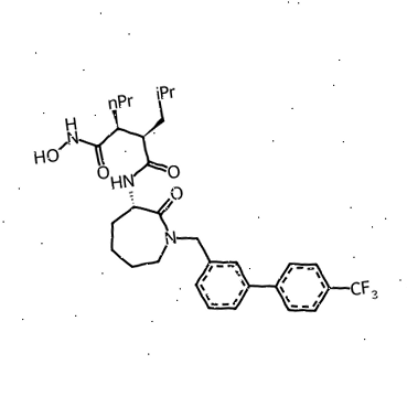 CCC[C@H](C(=O)NO)[C@@H](CC(C)C)C(=O)N[C@H]1CCCCN(Cc2cccc(-c3ccc(C(F)(F)F)cc3)c2)C1=O